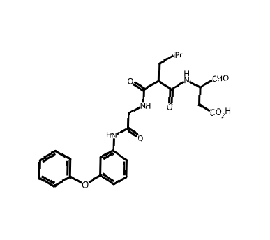 CC(C)CC(C(=O)NCC(=O)Nc1cccc(Oc2ccccc2)c1)C(=O)NC(C=O)CC(=O)O